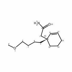 COCCCC[C@@]1(CC(N)=O)C=CCCC1